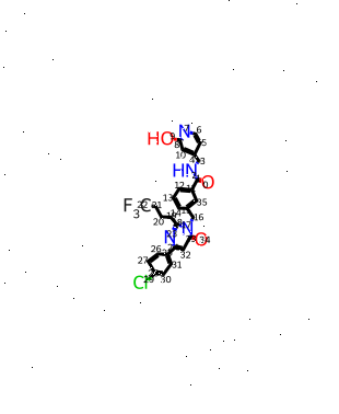 O=C(NCc1ccnc(O)c1)c1cccc(Cn2c(CCCC(F)(F)F)nc(-c3ccc(Cl)cc3)cc2=O)c1